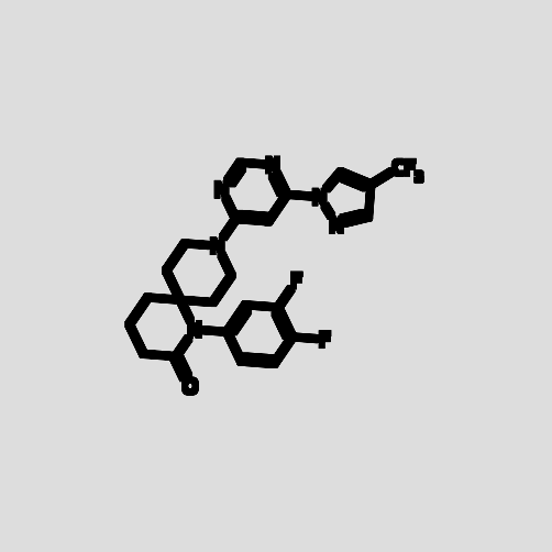 O=C1CCCC2(CCN(c3cc(-n4cc(C(F)(F)F)cn4)ncn3)CC2)N1c1ccc(F)c(F)c1